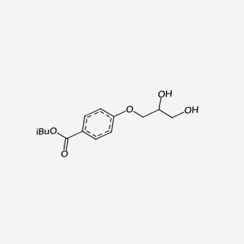 CC(C)COC(=O)c1ccc(OCC(O)CO)cc1